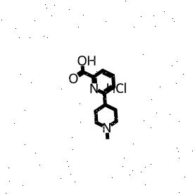 CN1CCC(c2cccc(C(=O)O)n2)CC1.Cl